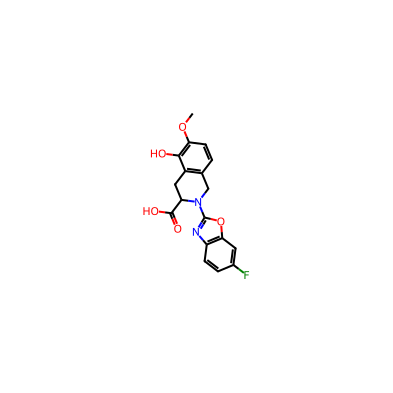 COc1ccc2c(c1O)CC(C(=O)O)N(c1nc3ccc(F)cc3o1)C2